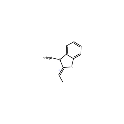 C/C=C1\Sc2ccccc2N1CCCCCCC